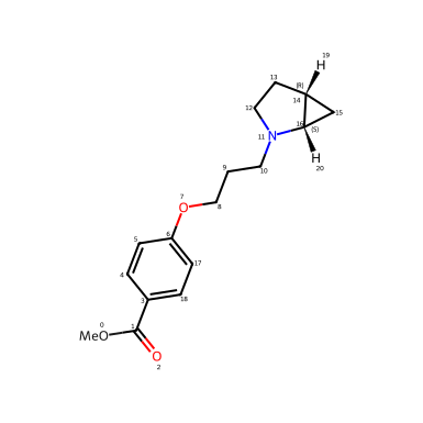 COC(=O)c1ccc(OCCCN2CC[C@@H]3C[C@@H]32)cc1